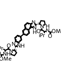 COC(=O)NC(C(=O)N1CCC[C@H]1c1nc2ccc(-c3ccc4c(ccc5nc([C@@H]6CCCN6C(=O)C(NC(=O)OC)C(C)C)[nH]c54)c3)cc2[nH]1)C(C)C